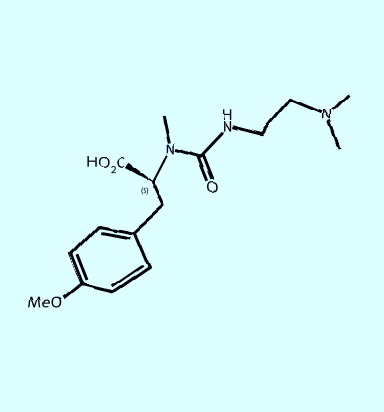 COc1ccc(C[C@@H](C(=O)O)N(C)C(=O)NCCN(C)C)cc1